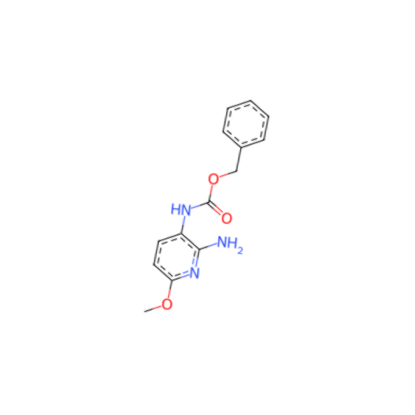 COc1ccc(NC(=O)OCc2ccccc2)c(N)n1